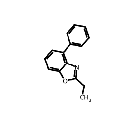 CCc1nc2c(-c3ccccc3)cccc2o1